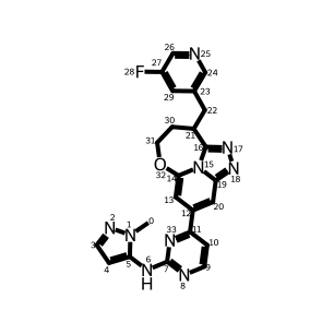 Cn1nccc1Nc1nccc(-c2cc3n4c(nnc4c2)C(Cc2cncc(F)c2)CCO3)n1